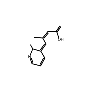 C=C(O)/C=C(C)\C=C1\C=CC=NC1C